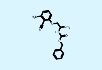 CC(COc1cccc(N)c1C#N)NC(=O)OCc1ccccc1